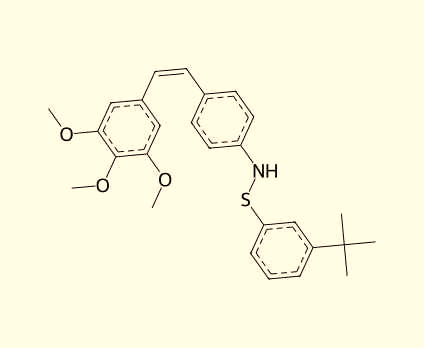 COc1cc(/C=C\c2ccc(NSc3cccc(C(C)(C)C)c3)cc2)cc(OC)c1OC